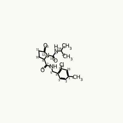 Cc1ccc(CNC(=O)C2CCC(=O)N2C(=O)NC(C)C)c(Cl)c1